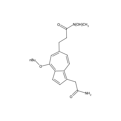 CCCCOc1cc(CCC(=O)N(C)O)ccc2c(CC(N)=O)ccc1-2